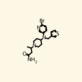 CC(CC(N)=O)N1CCC(N(Cc2ccsc2)c2ccc(Br)nc2)CC1